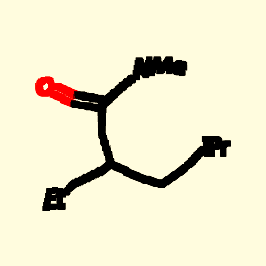 CCC(CC(C)C)C(=O)NC